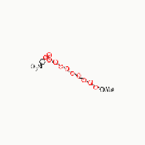 COCCOCCOCCOCCOCCOCCOCCOCCOCCOC(=O)Oc1ccc([N+](=O)[O-])cc1